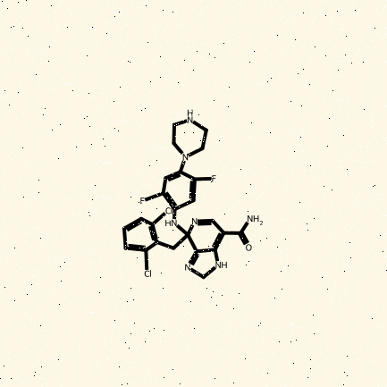 NC(=O)C1=C2NCN=C2C(Cc2c(Cl)cccc2Cl)(Nc2cc(F)c(N3CCNCC3)cc2F)N=C1